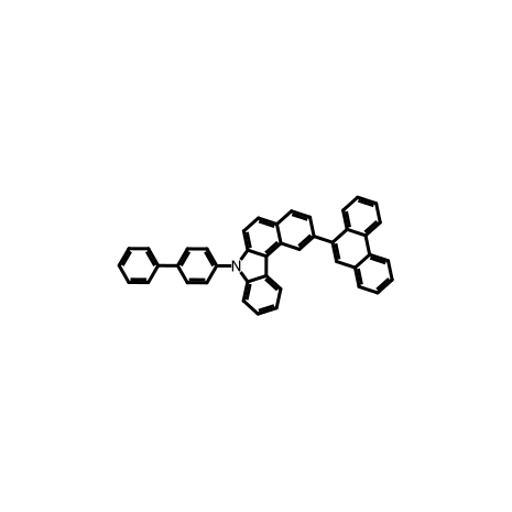 c1ccc(-c2ccc(-n3c4ccccc4c4c5cc(-c6cc7ccccc7c7ccccc67)ccc5ccc43)cc2)cc1